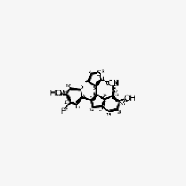 N#Cc1sccc1C1=C(c2ccc(O)c(F)c2)Cc2ccc(O)c(F)c21